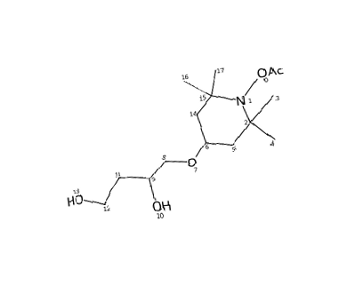 CC(=O)ON1C(C)(C)CC(OCC(O)CCO)CC1(C)C